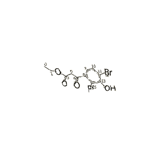 CCOC(=O)CC(=O)c1ccc(Br)c(O)c1F